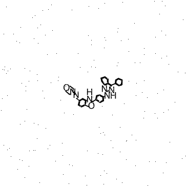 Cc1ccc(C=NN2CCOCC2)cc1NC(=O)c1ccc(Nc2nc(-c3ccccc3)c3ccccc3n2)cc1